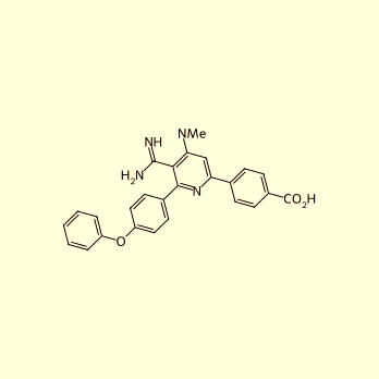 CNc1cc(-c2ccc(C(=O)O)cc2)nc(-c2ccc(Oc3ccccc3)cc2)c1C(=N)N